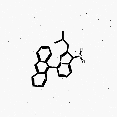 CC(C)CC1=Cc2c(-c3c4ccccc4cc4ccccc34)cccc2[CH]1[Zr]([Cl])[Cl]